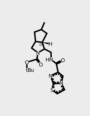 CC1CC2CN(C(=O)OC(C)(C)C)C(CNC(=O)c3cn4ccsc4n3)[C@H]2C1